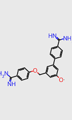 N=C(N)c1ccc(OCc2cc([O])cc(-c3ccc(C(=N)N)cc3)c2)cc1